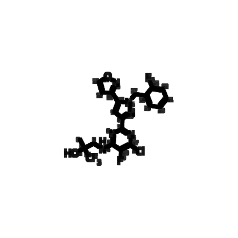 CC(O)(CNc1nc(-c2cc(-c3ccon3)n(Cc3ccccc3F)n2)nc(Cl)c1F)C(F)(F)F